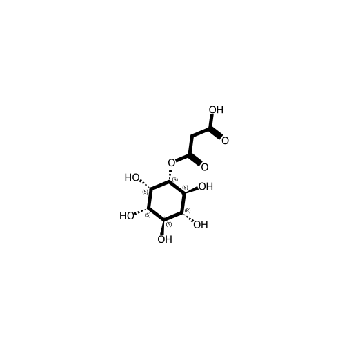 O=C(O)CC(=O)O[C@@H]1[C@@H](O)[C@H](O)[C@@H](O)[C@H](O)[C@@H]1O